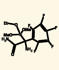 CCO[Si](OC)(OC)C(N)(C(N)=O)c1c(F)c(F)c(F)c(F)c1F